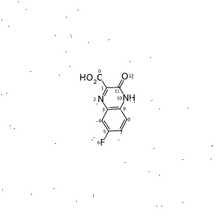 O=C(O)c1nc2cc(F)ccc2[nH]c1=O